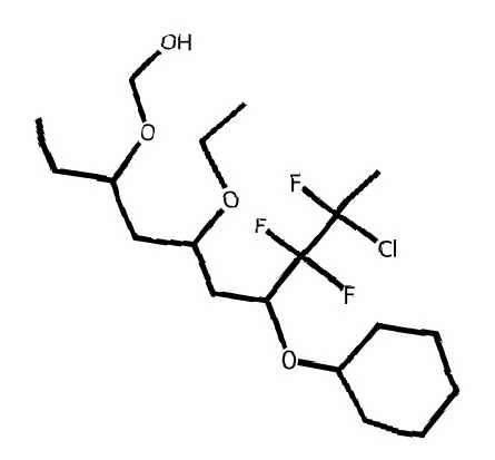 CCOC(CC(CC)OCO)CC(OC1CCCCC1)C(F)(F)C(C)(F)Cl